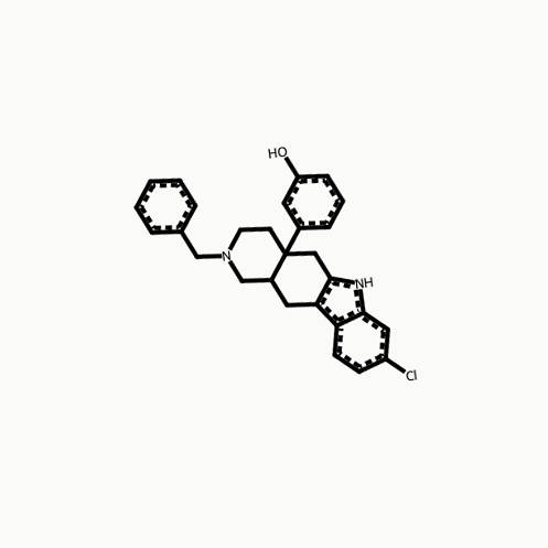 Oc1cccc(C23CCN(Cc4ccccc4)CC2Cc2c([nH]c4cc(Cl)ccc24)C3)c1